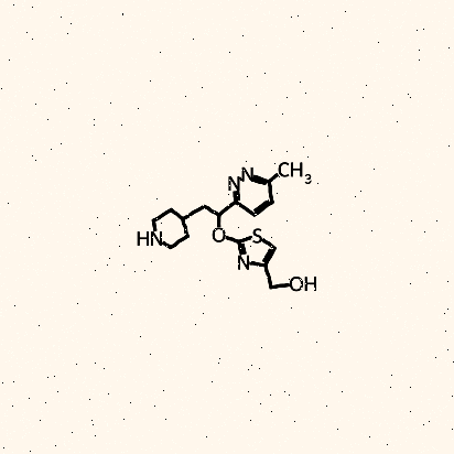 Cc1ccc(C(CC2CCNCC2)Oc2nc(CO)cs2)nn1